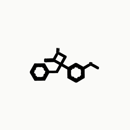 COc1cccc(C2(Cc3ccccc3)CNC2=O)c1